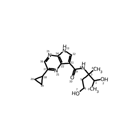 CC(O)C(C)(CCO)NC(=O)c1c[nH]c2ncc(C3CC3)nc12